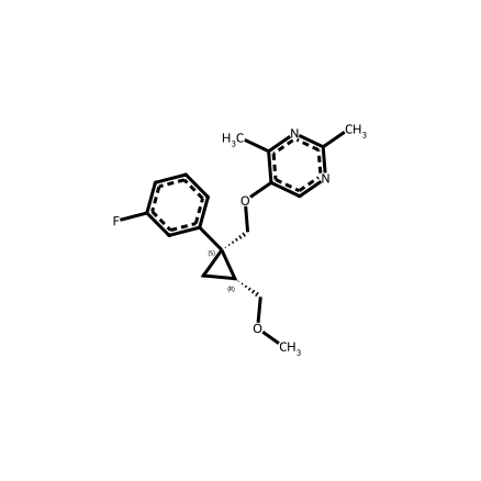 COC[C@@H]1C[C@@]1(COc1cnc(C)nc1C)c1cccc(F)c1